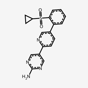 Nc1ncc(-c2ccc(-c3ccccc3S(=O)(=O)C3CC3)cn2)cn1